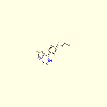 CCCOc1ccc(C2NCCn3cccc32)cc1